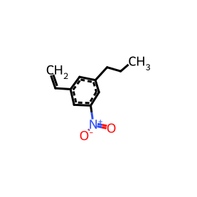 C=Cc1cc(CCC)cc([N+](=O)[O-])c1